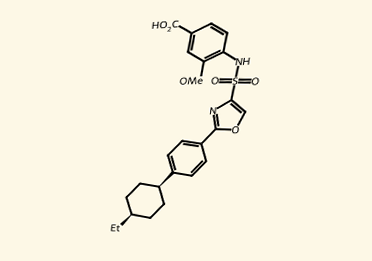 CC[C@H]1CC[C@@H](c2ccc(-c3nc(S(=O)(=O)Nc4ccc(C(=O)O)cc4OC)co3)cc2)CC1